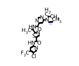 C=C(C)N(/C=C\C)c1cc(C(=O)N[C@H](C)c2ncc(C(=O)Nc3cc(C(F)(F)F)c(Cl)cn3)s2)ncn1